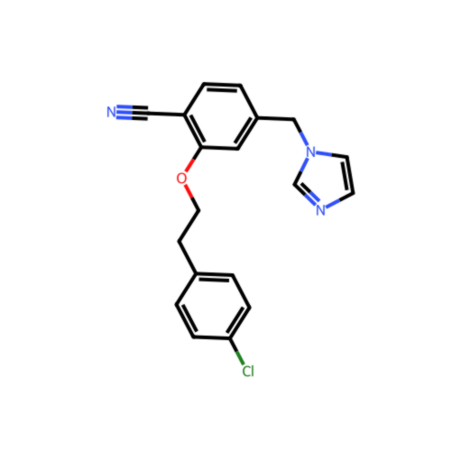 N#Cc1ccc(Cn2ccnc2)cc1OCCc1ccc(Cl)cc1